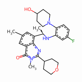 Cc1cc([C@@H](C)Nc2cc(F)ccc2N2CCC(O)CC2)c2nc(C3CCOCC3)n(C)c(=O)c2c1